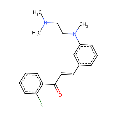 CN(C)CCN(C)c1cccc(/C=C/C(=O)c2ccccc2Cl)c1